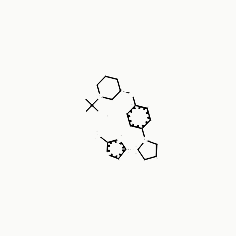 CC(C)(C)N1CCC[C@@H](Oc2ccc(N3CCC[C@@H]3c3csc(N)n3)cc2)C1